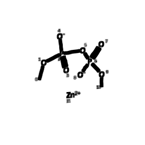 COP(=O)([O-])OP(=O)([O-])OC.[Zn+2]